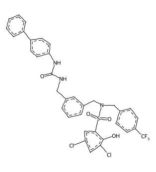 O=C(NCc1cccc(CN(Cc2ccc(C(F)(F)F)cc2)S(=O)(=O)c2cc(Cl)cc(Cl)c2O)c1)Nc1ccc(-c2ccccc2)cc1